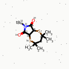 CC1(C)CC(C)(C)SC2C(=O)N(C(C)(C)C)C(=O)C2S1